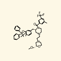 COC[C@@H]1CN(CCN2CCN(C(=O)c3cc(C)cc(C(F)(F)F)c3)[C@H](Cc3ccc(C)c(O[Si](c4ccccc4)(c4ccccc4)C(C)(C)C)c3)C2)CCO1